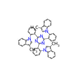 Cc1cn(-c2ccccc2-c2nc(-c3ccccc3-n3cc(C)c4ccccc43)nc(-c3ccccc3-n3cc(C)c4ccccc43)n2)c2ccccc12